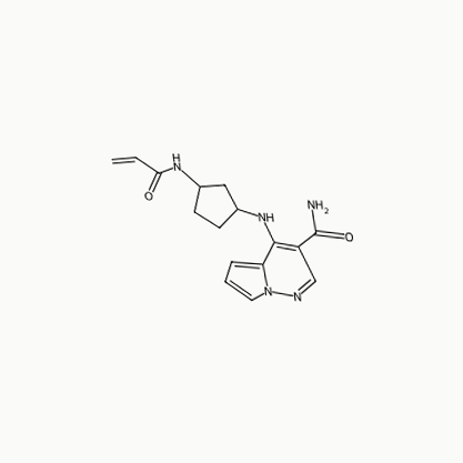 C=CC(=O)NC1CCC(Nc2c(C(N)=O)cnn3cccc23)C1